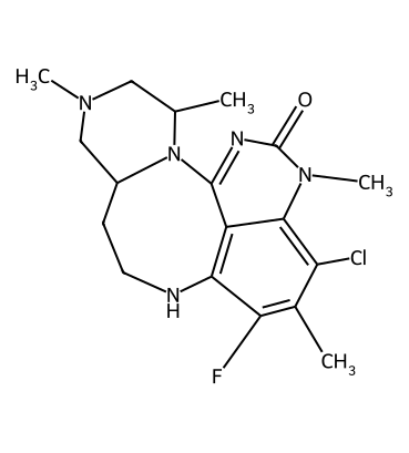 Cc1c(F)c2c3c(nc(=O)n(C)c3c1Cl)N1C(C)CN(C)CC1CCN2